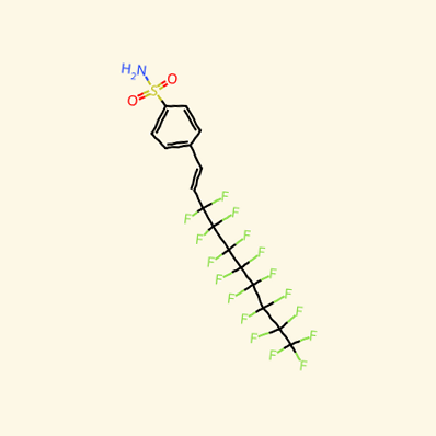 NS(=O)(=O)c1ccc(C=CC(F)(F)C(F)(F)C(F)(F)C(F)(F)C(F)(F)C(F)(F)C(F)(F)C(F)(F)F)cc1